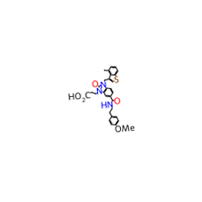 COc1ccc(CCNC(=O)c2ccc3c(c2)n(CCC(=O)O)c(=O)n3Cc2csc3cccc(C)c23)cc1